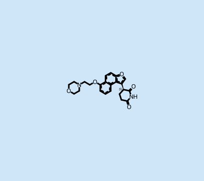 O=C1CC[C@@H](c2coc3ccc4c(OCCN5CCOCC5)cccc4c23)C(=O)N1